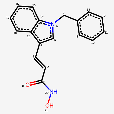 O=C(/C=C/c1cn(Cc2ccccc2)c2ccccc12)NO